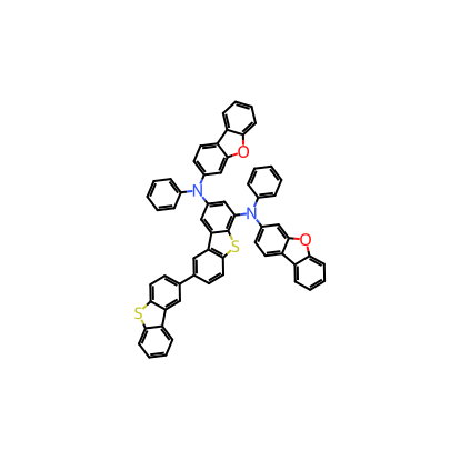 c1ccc(N(c2ccc3c(c2)oc2ccccc23)c2cc(N(c3ccccc3)c3ccc4c(c3)oc3ccccc34)c3sc4ccc(-c5ccc6sc7ccccc7c6c5)cc4c3c2)cc1